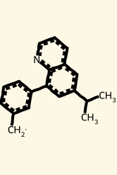 [CH2]c1cccc(-c2cc(C(C)C)cc3cccnc23)c1